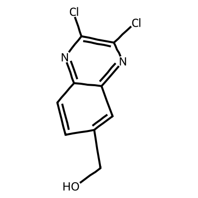 OCc1ccc2nc(Cl)c(Cl)nc2c1